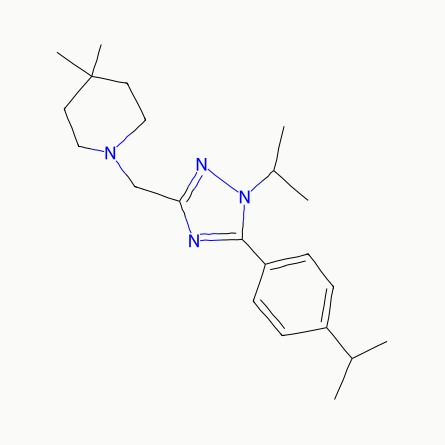 CC(C)c1ccc(-c2nc(CN3CCC(C)(C)CC3)nn2C(C)C)cc1